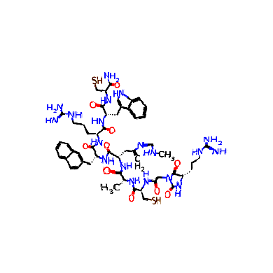 C=C(C[C@H](NC(=O)[C@@H](C)NC(=O)[C@H](CS)NC(=O)CN1C(=O)N[C@@H](CCCNC(=N)N)C1=O)C(=O)N[C@H](Cc1ccc2ccccc2c1)C(=O)N[C@@H](CCCNC(=N)N)C(=O)N[C@@H](Cc1c[nH]c2ccccc12)C(=O)N[C@@H](CS)C(N)=O)/N=C\NC